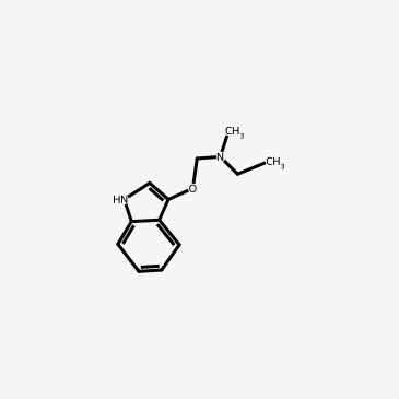 CCN(C)COc1c[nH]c2ccccc12